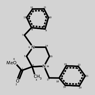 COC(=O)C1(C)CN(Cc2ccccc2)CCN1Cc1ccccc1